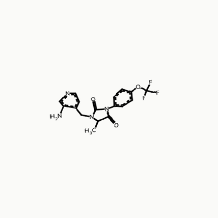 CC1C(=O)N(c2ccc(OC(F)(F)F)cc2)C(=O)N1Cc1ccncc1N